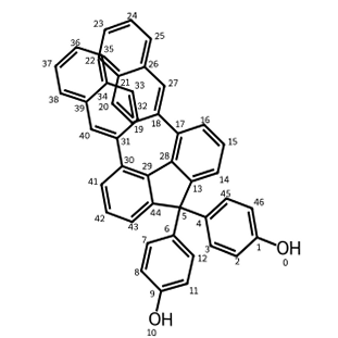 Oc1ccc(C2(c3ccc(O)cc3)c3cccc(-c4ccc5ccccc5c4)c3-c3c(-c4ccc5ccccc5c4)cccc32)cc1